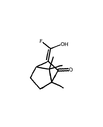 CC12CCC(/C(=C(/O)F)C1=O)C2(C)C